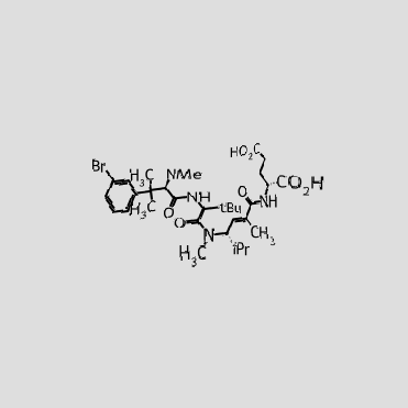 CN[C@@H](C(=O)NC(C(=O)N(C)[C@H](/C=C(\C)C(=O)N[C@H](CCC(=O)O)C(=O)O)C(C)C)C(C)(C)C)C(C)(C)c1cccc(Br)c1